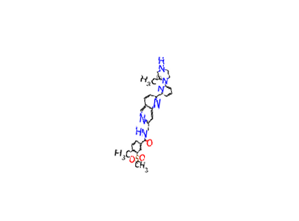 Cc1ccc(C(=O)NCc2cc3nc(-c4cccc(N5CCNC[C@@H]5C)n4)ccc3cn2)cc1S(C)(=O)=O